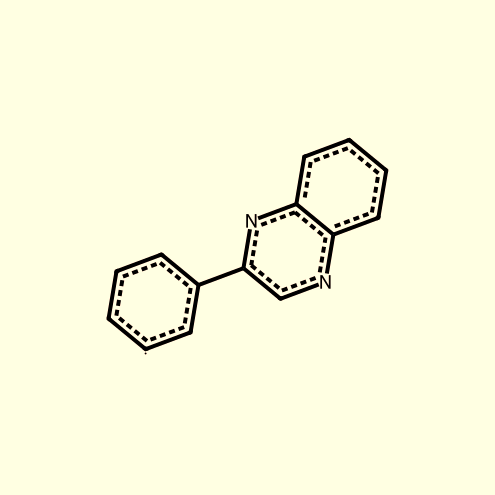 [c]1cccc(-c2cnc3ccccc3n2)c1